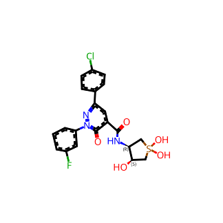 O=C(N[C@H]1CS(O)(O)C[C@H]1O)c1cc(-c2ccc(Cl)cc2)nn(-c2cccc(F)c2)c1=O